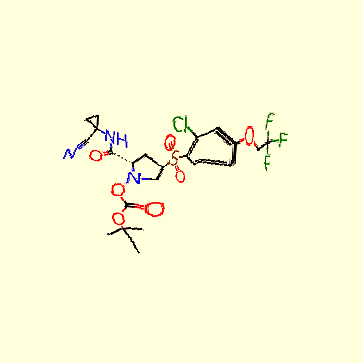 CC(C)(C)OC(=O)ON1C[C@H](S(=O)(=O)c2ccc(OCC(F)(F)F)cc2Cl)C[C@H]1C(=O)NC1(C#N)CC1